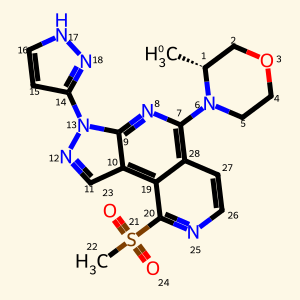 C[C@@H]1COCCN1c1nc2c(cnn2-c2cc[nH]n2)c2c(S(C)(=O)=O)nccc12